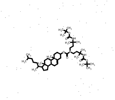 CC(C)CCCC(C)C1CCC2C3CC=C4CC(OC(=O)N(CCC(C)(C)NC(=O)OC(C)(C)C)CCC(C)(C)NC(=O)OC(C)(C)C)CCC4(C)C3CCC12C